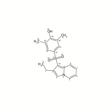 CCc1cn2ccccc2c1S(=O)(=O)c1cc(C)c(O)c(C)c1